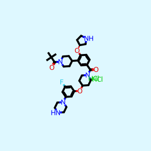 CC(C)(C)C(=O)N1CCC(c2cc(C(=O)N3CCC(Oc4cc(F)cc(N5CCNCC5)c4)CC3)ccc2O[C@H]2CCNC2)CC1.Cl.Cl